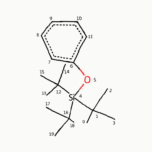 CC(C)(C)[Si](Oc1ccccc1)(C(C)(C)C)C(C)(C)C